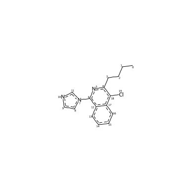 CCCCc1nc(-n2ccnc2)c2ccccc2c1Cl